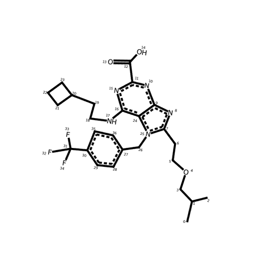 CC(C)COCCc1nc2nc(C(=O)O)nc(NCCC3CCC3)c2n1Cc1ccc(C(F)(F)F)cc1